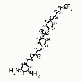 Nc1cc(N)cc(CCOC(=O)/C=C/c2ccc(C(=O)Oc3ccc(OCCCCC(F)(F)F)cc3)cc2)c1